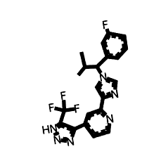 CC(C)C(c1cccc(F)c1)n1cnc(-c2cc(-c3nn[nH]c3C(F)(F)F)ccn2)c1